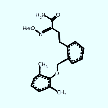 CON=C(CCc1ccccc1COc1c(C)cccc1C)C(N)=O